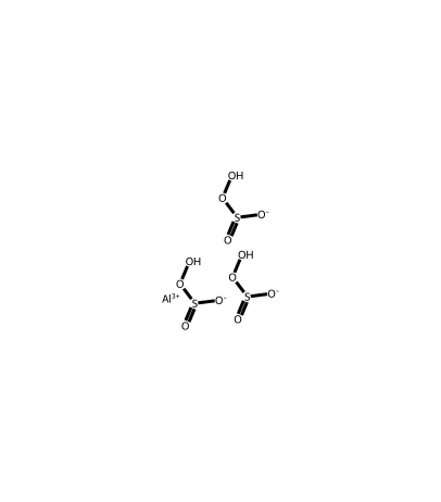 O=S([O-])OO.O=S([O-])OO.O=S([O-])OO.[Al+3]